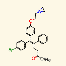 COC(=O)CC/C(=C(\c1ccc(Br)cc1)c1ccc(OCCN2CC2)cc1)c1ccccc1